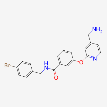 NCc1ccnc(Oc2cccc(C(=O)NCc3ccc(Br)cc3)c2)c1